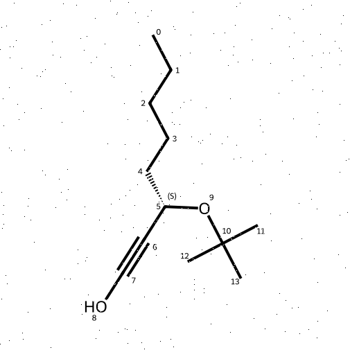 CCCCC[C@@H](C#CO)OC(C)(C)C